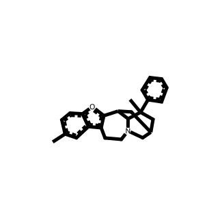 Cc1ccc2oc3c(c2c1)CCN1CC2CC3C1C(C)(c1ccccc1)C2